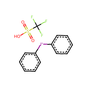 O=S(=O)(O)C(F)(F)F.c1ccc([I+]c2ccccc2)cc1